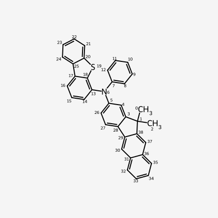 CC1(C)c2cc(N(c3ccccc3)c3cccc4c3sc3ccccc34)ccc2-c2cc3ccccc3cc21